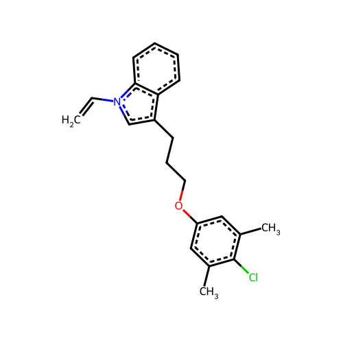 C=Cn1cc(CCCOc2cc(C)c(Cl)c(C)c2)c2ccccc21